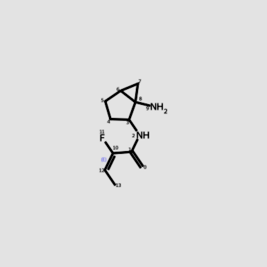 C=C(NC1CCC2CC21N)/C(F)=C\C